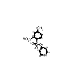 Cc1ccc(S(=O)(=O)Oc2ccncc2)c(S(=O)(=O)O)c1